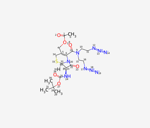 CC(=O)OCC1=C(C(=O)N(CCN=[N+]=[N-])CCN=[N+]=[N-])N2C(=O)[C@@H](NC(=O)OC(C)(C)C)[C@H]2SC1